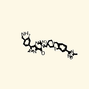 Cc1nc(-c2ccc(CN3CCC(O)(Cn4cnc5c(-c6ccc(CN)cc6)n(C)nc5c4=O)CC3)c(F)c2)no1